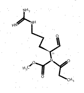 CCC(=O)N(C(=O)OC)[C@H]([C]=O)CCCNC(=N)N